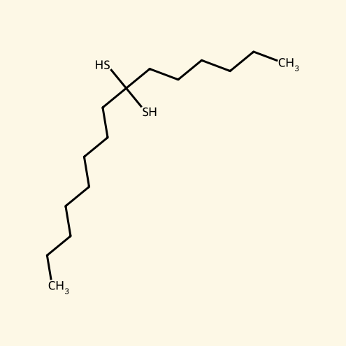 CCCCCCCCC(S)(S)CCCCCC